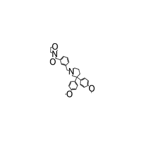 COc1ccc(C2(c3ccc(OC)cc3)CCCN(Cc3cccc(C(=O)N4CCOC4)c3)C2)cc1